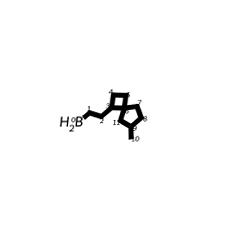 BCCC1CCC12CCC(C)C2